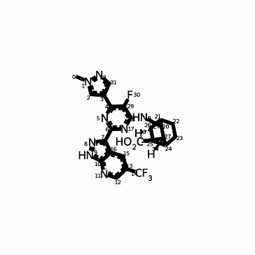 Cn1cc(-c2nc(-c3n[nH]c4ncc(C(F)(F)F)cc34)nc(N[C@H]3C4CCC(CC4)[C@@H]3C(=O)O)c2F)cn1